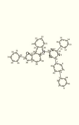 c1ccc(-c2ccc(-c3nc(-c4ccccc4)nc(-n4c5ccccc5c5c6oc(-c7ccccc7)cc6ccc54)n3)cc2)cc1